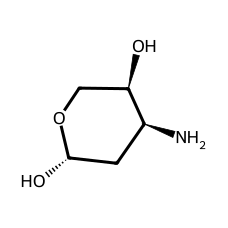 N[C@H]1C[C@H](O)OC[C@H]1O